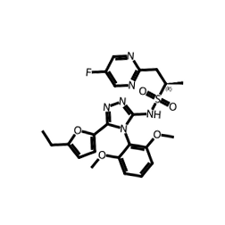 CCc1ccc(-c2nnc(NS(=O)(=O)[C@H](C)Cc3ncc(F)cn3)n2-c2c(OC)cccc2OC)o1